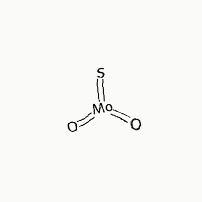 [O]=[Mo](=[O])=[S]